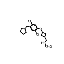 O=CNCC1CC(Oc2cc(Cl)c(CN3CCCC3)cc2Cl)C1